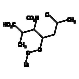 CCOOC(CC(C)Cl)C(C(=O)O)C(C)C(=O)O